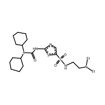 CCN(CC)CCNS(=O)(=O)c1cnc(NC(=O)N(C2CCCCC2)C2CCCCC2)s1